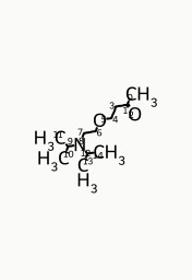 CC(=O)CCOCCN(C(C)C)C(C)C